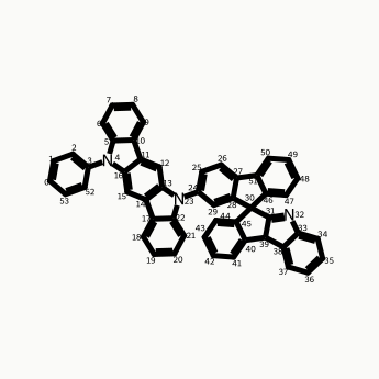 c1ccc(-n2c3ccccc3c3cc4c(cc32)c2ccccc2n4-c2ccc3c(c2)C2(C4=Nc5ccccc5C4c4ccccc42)c2ccccc2-3)cc1